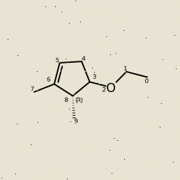 CCOC1CC=C(C)[C@H]1C